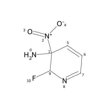 NC1([N+](=O)[O-])C=CC=NC1F